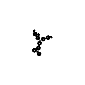 C=Cc1ccc(-c2ccc(N(c3ccc(-c4ccc5c(c4)c4ccccc4n5-c4ccccc4)cc3)c3ccc4c(c3)C(C)(C)c3cc(C=C)ccc3-4)cc2)cc1